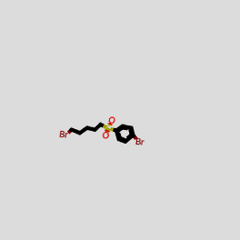 O=S(=O)(CCCCCBr)c1ccc(Br)cc1